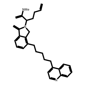 C=CCCC(C(=C)NC)N1Cc2c(CCCCCc3ccnc4ccccc34)cccc2C1=C